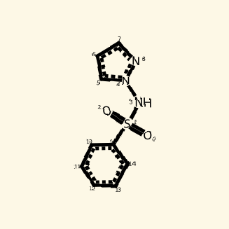 O=S(=O)(Nn1cccn1)c1ccccc1